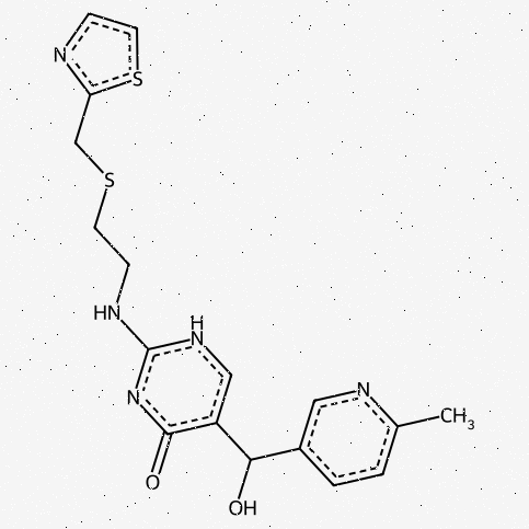 Cc1ccc(C(O)c2c[nH]c(NCCSCc3nccs3)nc2=O)cn1